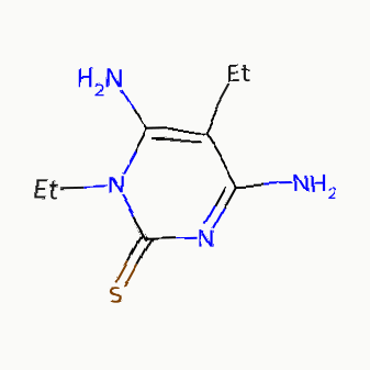 CCc1c(N)nc(=S)n(CC)c1N